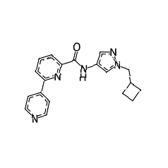 O=C(Nc1cnn(CC2CCC2)c1)c1cccc(-c2ccncc2)n1